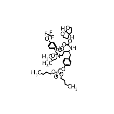 CCCCOP(=O)(COc1ccc(C[C@H](NC(=O)OC2CO[C@H]3OCC[C@@H]23)[C@H](O)CN(CC(C)C)S(=O)(=O)c2ccc(OC(F)(F)F)cc2)cc1)OCCCC